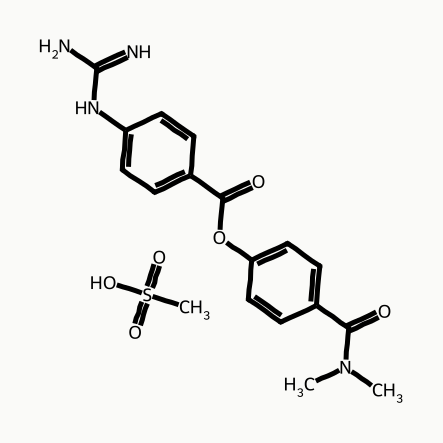 CN(C)C(=O)c1ccc(OC(=O)c2ccc(NC(=N)N)cc2)cc1.CS(=O)(=O)O